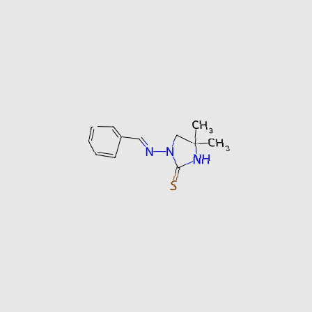 CC1(C)CN(/N=C/c2ccccc2)C(=S)N1